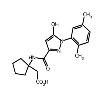 Cc1ccc(C)c(-n2nc(C(=O)NC3(CC(=O)O)CCCC3)cc2O)c1